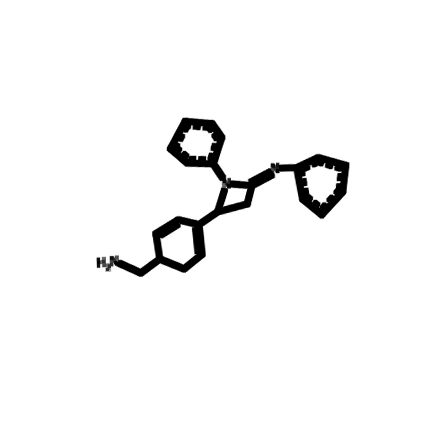 NCC1C=CC(C2C/C(=N\c3ccccc3)N2c2ccccc2)=CC1